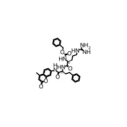 Cc1cc(=O)oc2cc(NC(=O)[C@H](CCc3ccccc3)NC(=O)[C@H](CCCNC(=N)N)NC(=O)OCc3ccccc3)ccc12